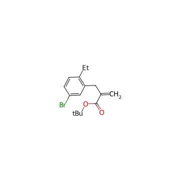 C=C(Cc1cc(Br)ccc1CC)C(=O)OC(C)(C)C